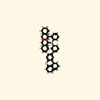 c1cc(-c2ccc3c(c2)-c2cccc4cccc(c24)O3)cc(N(c2ccccc2-c2cccc3ccccc23)c2cccc3ccccc23)c1